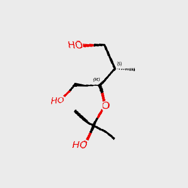 C[C@@H](CO)[C@H](CO)OC(C)(C)O